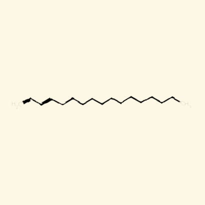 C=CC=CCCCCCC[CH]CCCCCC